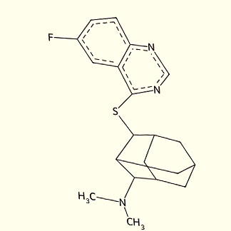 CN(C)C1C2CC3CC(C2)C(Sc2ncnc4ccc(F)cc24)C1C3